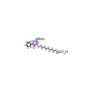 CCCCCCCCCC(=O)N[C@@H](C(=O)NCCCCCCCCCCCC(=O)O)c1ccccc1